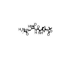 C[C@H](N)C(=O)NC[C@H]1NC(=O)[C@H]1NC(=O)C(=N)c1csc(N2C(=O)OC2(C)C)n1